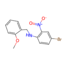 COc1ccccc1CNc1ccc(Br)cc1[N+](=O)[O-]